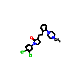 CN1CCN(c2ccccc2CC=C2CCN(c3ccc(Cl)c(Cl)c3)C2=O)CC1